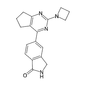 O=C1NCc2cc(-c3nc(N4CCC4)nc4c3CCC4)ccc21